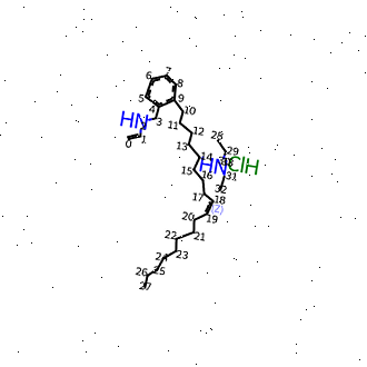 C=CNCc1ccccc1CCCCCCCC/C=C\CCCCCCCC.CCNCC.Cl